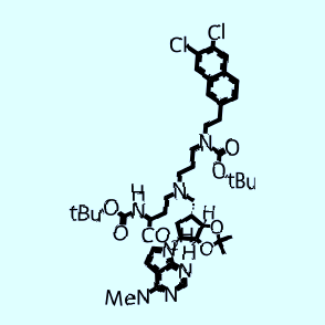 CNc1ncnc2c1ccn2[C@@H]1C[C@H](CN(CCCN(CCc2ccc3cc(Cl)c(Cl)cc3c2)C(=O)OC(C)(C)C)CCC(NC(=O)OC(C)(C)C)C(=O)O)[C@H]2OC(C)(C)O[C@H]21